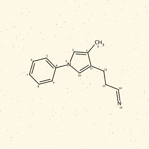 Cc1cn(-c2ccccc2)cc1CCC=[N]